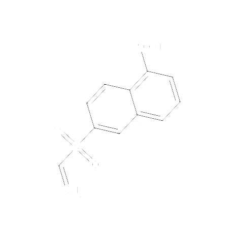 C=CS(=O)(=O)c1ccc2c(S(=O)(=O)O)[c]ccc2c1